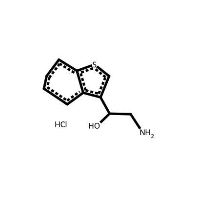 Cl.NCC(O)c1csc2ccccc12